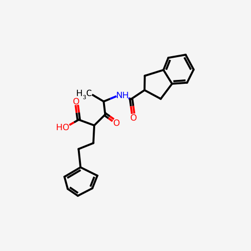 CC(NC(=O)C1Cc2ccccc2C1)C(=O)C(CCc1ccccc1)C(=O)O